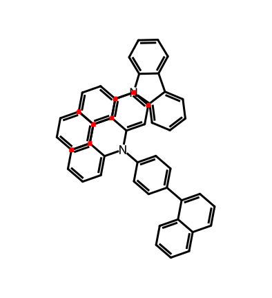 c1ccc(-c2ccccc2N(c2ccc(-c3cccc4ccccc34)cc2)c2ccccc2-c2cccc(-n3c4ccccc4c4ccccc43)c2)cc1